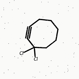 ClC1(Cl)C#CCCCCC1